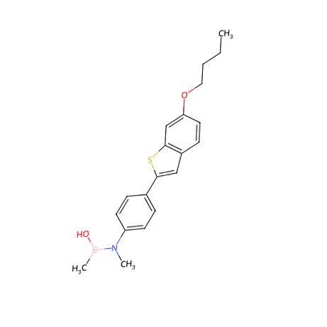 CCCCOc1ccc2cc(-c3ccc(N(C)B(C)O)cc3)sc2c1